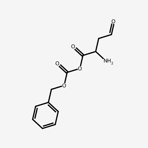 NC(CC=O)C(=O)OC(=O)OCc1ccccc1